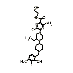 CC[C@H]1CN(c2nc(N)c(C(=O)NCCO)nc2Cl)CCN1C1CCN(Cc2ccc(C)c(F)c2O)CC1